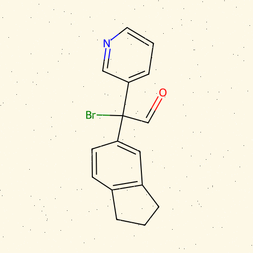 O=CC(Br)(c1cccnc1)c1ccc2c(c1)CCC2